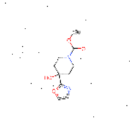 CC(C)(C)OC(=O)N1CCC(O)(c2ncco2)CC1